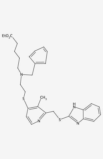 CCOC(=O)CCCCN(CCSc1ccnc(CSc2nc3ccccc3[nH]2)c1C)Cc1ccccc1